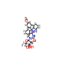 CC[C@]1(CO)O[C@@H](n2ccc(NC(c3ccccc3)(c3ccccc3)c3ccc(OC)cc3)nc2=O)[C@H](F)[C@@H]1O